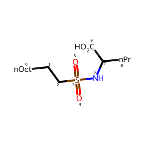 CCCCCCCCCCS(=O)(=O)NC(CCC)C(=O)O